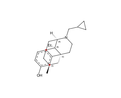 CC[C@@]12CC[C@H](C)C[C@@]13CCN(CC1CC1)[C@@H]2Cc1ccc(O)cc13